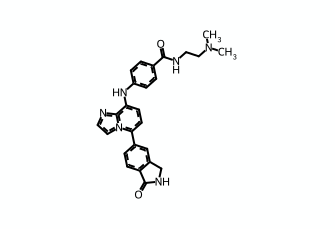 CN(C)CCNC(=O)c1ccc(Nc2ccc(-c3ccc4c(c3)CNC4=O)n3ccnc23)cc1